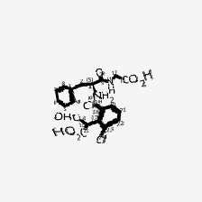 N[C@@H](Cc1ccccc1)C(=O)NCC(=O)O.O=CC(C(=O)O)c1c(Cl)cccc1Cl